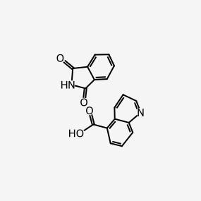 O=C(O)c1cccc2ncccc12.O=C1NC(=O)c2ccccc21